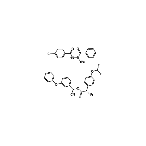 CC(C)(C)N(NC(=O)c1ccc(Cl)cc1)C(=O)c1ccccc1.CC(C)[C@H](C(=O)OC(C#N)c1cccc(Oc2ccccc2)c1)c1ccc(OC(F)F)cc1